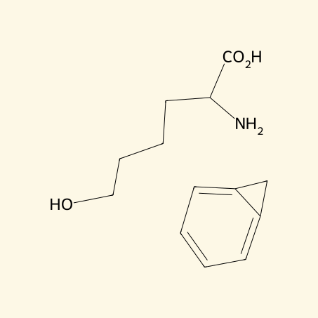 NC(CCCCO)C(=O)O.c1ccc2c(c1)C2